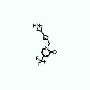 O=c1cc(C(F)(F)F)ccn1CC12CC(C3CNC3)(C1)C2